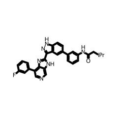 CC(C)CC(=O)Nc1cccc(-c2ccc3[nH]nc(-c4nc5c(-c6cccc(F)c6)cncc5[nH]4)c3c2)c1